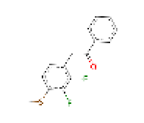 CSc1ccc(CC(=O)c2ccccc2)c(F)c1F